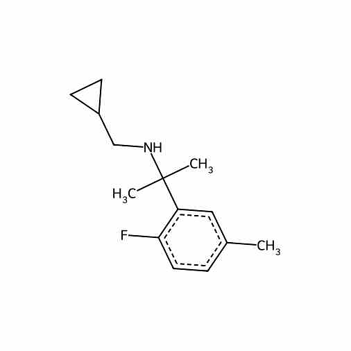 Cc1ccc(F)c(C(C)(C)NCC2CC2)c1